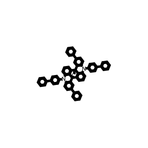 c1ccc(-c2ccc(N3c4ccc(-c5ccccc5)cc4C45CCC6(c7cc(-c8ccccc8)ccc7N(c7ccc(-c8ccccc8)cc7)c7cccc4c76)c4cccc3c45)cc2)cc1